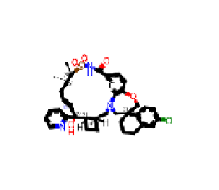 C[C@@H]1[C@@H](C)C/C=C/[C@@](O)(c2ccccn2)[C@@H]2CC[C@H]2CN2C[C@@]3(CCCc4cc(Cl)ccc43)COc3ccc(cc32)C(=O)NS1(=O)=O